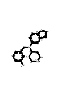 Fc1cccc(CN(c2ccc3sccc3c2)C2CCNCC2)c1